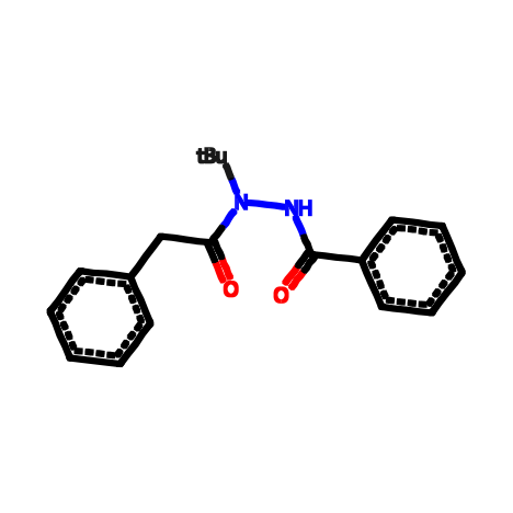 CC(C)(C)N(NC(=O)c1ccccc1)C(=O)Cc1ccccc1